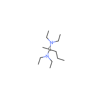 CCC[Si](C)(N(CC)CC)N(CC)CC